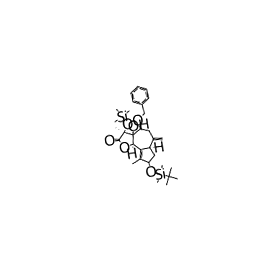 C=C1C[C@H](OCc2ccccc2)[C@]2(O)[C@H](OC(=O)[C@@]2(C)O[Si](C)(C)C)C2=C(C)C(O[Si](C)(C)C(C)(C)C)C[C@H]12